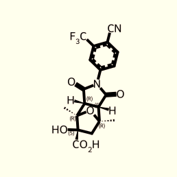 C[C@]12C[C@@](O)(C(=O)O)[C@](C)(O1)[C@@H]1C(=O)N(c3ccc(C#N)c(C(F)(F)F)c3)C(=O)[C@@H]12